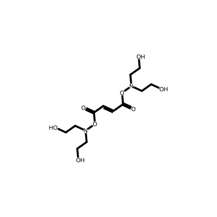 O=C(/C=C/C(=O)ON(CCO)CCO)ON(CCO)CCO